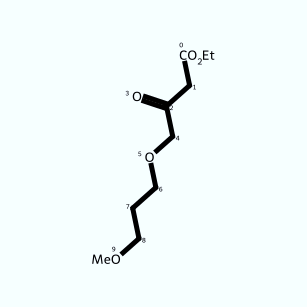 CCOC(=O)CC(=O)COCCCOC